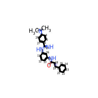 CN(C)c1ccc(C(=N)Nc2cccc(NC(=O)/C=C/c3ccccc3)c2)cc1